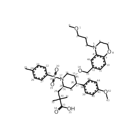 COCCCN1CCOc2ccc(CO[C@H]3CN(S(=O)(=O)c4ccc(C)cc4)[C@H](CC(C)(C)C(=O)O)C[C@@H]3c3ccc(OC)cc3)cc21